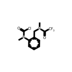 CN(Cc1ccccc1N(C)C(=O)Cl)C(=O)C(F)(F)F